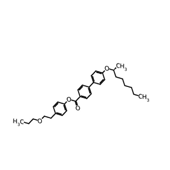 CCCCCC[C@H](C)Oc1ccc(-c2ccc(C(=O)Oc3ccc(CCOCCC)cc3)cc2)cc1